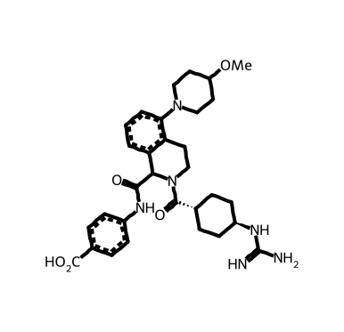 COC1CCN(c2cccc3c2CCN(C(=O)[C@H]2CC[C@H](NC(=N)N)CC2)C3C(=O)Nc2ccc(C(=O)O)cc2)CC1